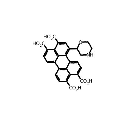 O=C(O)c1ccc2c3ccc(C(=O)O)c4c(C(=O)O)cc(C5CNCCO5)c(c5ccc(C(=O)O)c1c25)c43